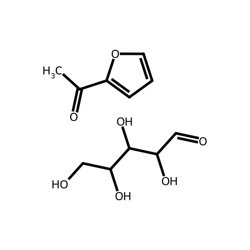 CC(=O)c1ccco1.O=CC(O)C(O)C(O)CO